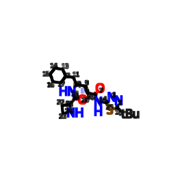 CC(C)(C)c1nnc(NC(=O)/C=C/[C@H](CC2CCCCC2)NC(=O)[C@@H]2CCN2)s1